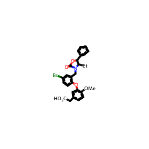 CCC1C(c2ccccc2)OC(=O)N1Cc1cc(Br)ccc1Oc1cc(CC(=O)O)ccc1OC